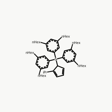 CCCCCCc1cc(CCCCCC)cc([Si]([C]2C=CC=C2C(C)C)(c2cc(CCCCCC)cc(CCCCCC)c2)c2cc(CCCCCC)cc(CCCCCC)c2)c1